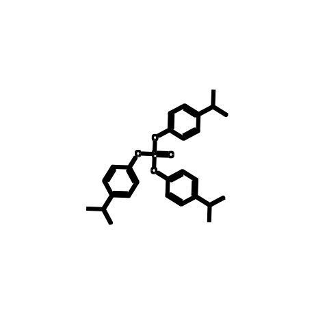 CC(C)c1ccc(OP(=O)(Oc2ccc(C(C)C)cc2)Oc2ccc(C(C)C)cc2)cc1